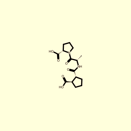 C[C@H](NC(=O)[C@@H]1CCC[C@H]1C(=O)O)C(=O)N1CCC[C@H]1C(=O)O